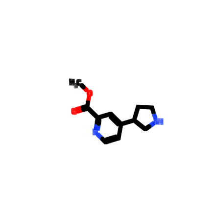 COC(=O)c1cc(C2CCNC2)ccn1